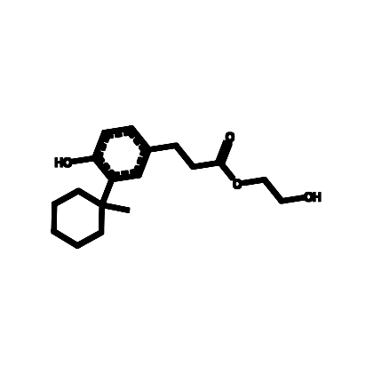 CC1(c2cc(CCC(=O)OCCO)ccc2O)CCCCC1